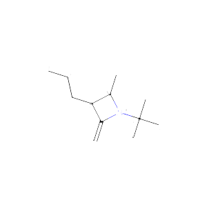 C=C1C(CCC)C(C)N1C(C)(C)C